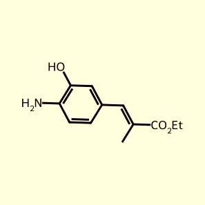 CCOC(=O)C(C)=Cc1ccc(N)c(O)c1